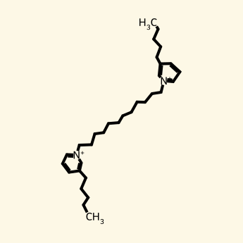 CCCCCc1ccc[n+](CCCCCCCCCCCC[n+]2cccc(CCCCC)c2)c1